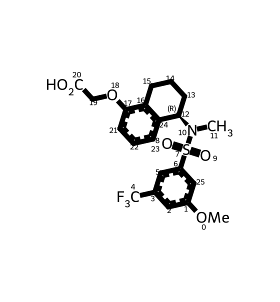 COc1cc(C(F)(F)F)cc(S(=O)(=O)N(C)[C@@H]2CCCc3c(OCC(=O)O)cccc32)c1